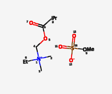 CC[N+](C)(C)COC(=O)C(C)C.COS(=O)(=O)[O-]